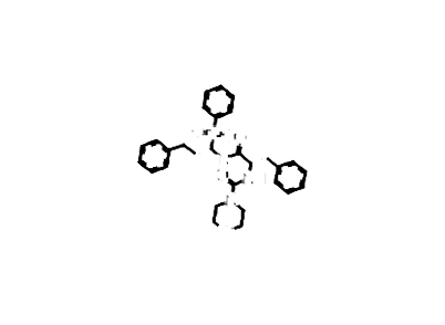 O=C(N[C@H](CCc1ccccc1)S(=O)(=O)c1ccccc1)[C@H](Cc1ccccc1)NC(=O)N1CCOCC1